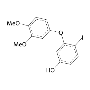 COc1ccc(Oc2cc(O)ccc2I)cc1OC